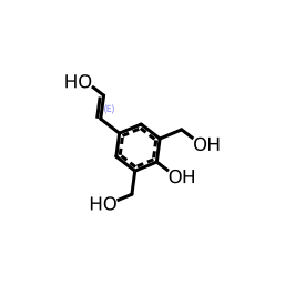 O/C=C/c1cc(CO)c(O)c(CO)c1